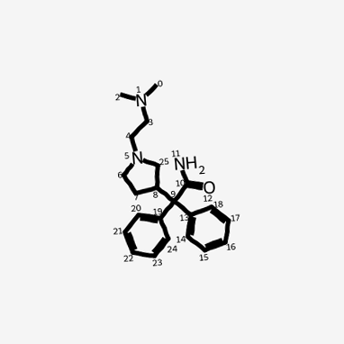 CN(C)CCN1CCC(C(C(N)=O)(c2ccccc2)c2ccccc2)C1